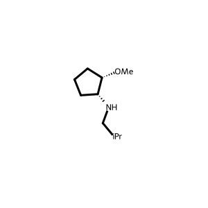 CO[C@H]1CCC[C@H]1NCC(C)C